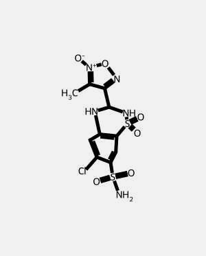 Cc1c(C2Nc3cc(Cl)c(S(N)(=O)=O)cc3S(=O)(=O)N2)no[n+]1[O-]